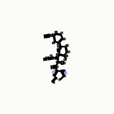 C=C/C=C(\N=C/C)NC(=O)N(CCCCCC)c1nc(-c2cccc(C#N)c2)ccc1C